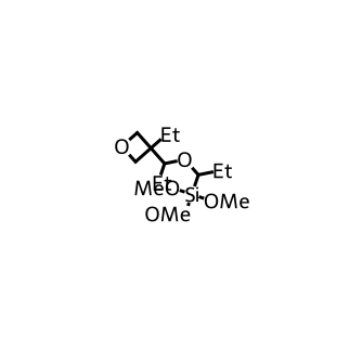 CCC(OC(CC)[Si](OC)(OC)OC)C1(CC)COC1